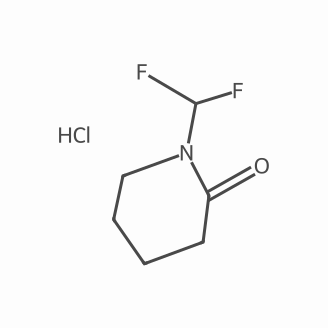 Cl.O=C1CCCCN1C(F)F